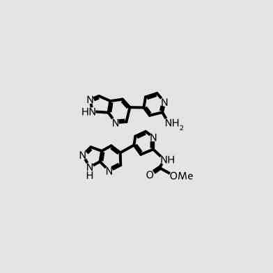 COC(=O)Nc1cc(-c2cnc3[nH]ncc3c2)ccn1.Nc1cc(-c2cnc3[nH]ncc3c2)ccn1